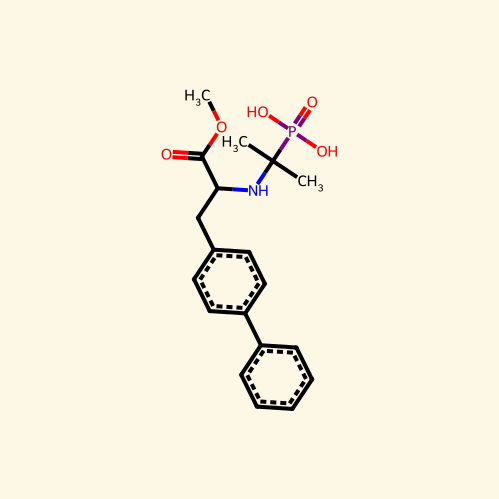 COC(=O)C(Cc1ccc(-c2ccccc2)cc1)NC(C)(C)P(=O)(O)O